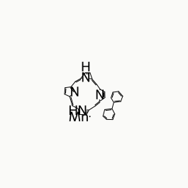 C1=Cc2cc3ccc(cc4nc(cc5ccc(cc1n2)[nH]5)C=C4)[nH]3.[Mn].c1ccc(-c2ccccc2)cc1